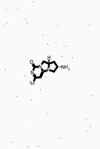 [2H]c1cc2n(c(=O)n1)C[C@@H]1C[C@H](N)CN21